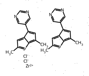 CC1=PC2=C(C)C=C(c3cncnc3)C2=C1.CC1=PC2=C(C)C=C(c3cncnc3)C2=C1.[Cl-].[Cl-].[Zr+2]